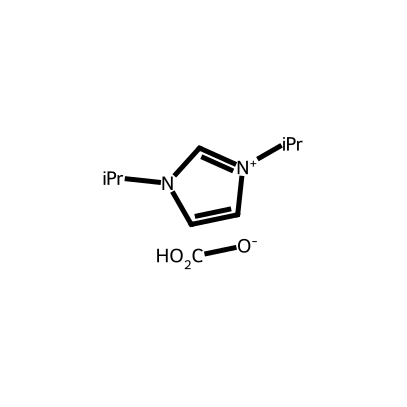 CC(C)n1cc[n+](C(C)C)c1.O=C([O-])O